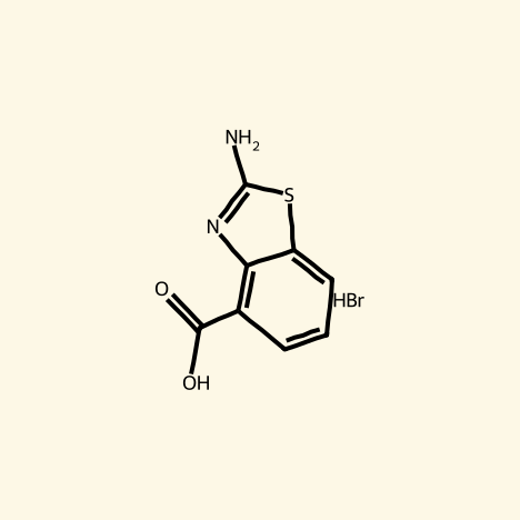 Br.Nc1nc2c(C(=O)O)cccc2s1